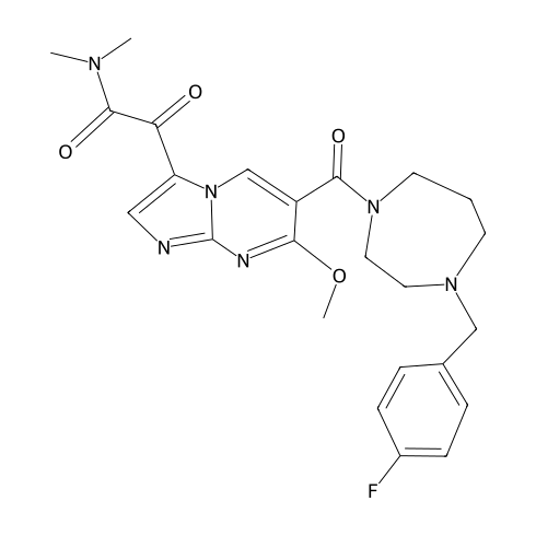 COc1nc2ncc(C(=O)C(=O)N(C)C)n2cc1C(=O)N1CCCN(Cc2ccc(F)cc2)CC1